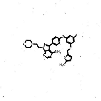 Cc1ccc(COc2cc(F)cc(Oc3ccc(-c4nn(CCN5CCOCC5)c5ncnc(N)c45)cc3)c2)s1